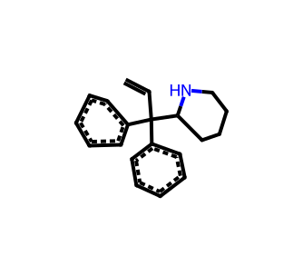 C=CC(c1ccccc1)(c1ccccc1)C1CCCCN1